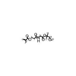 C=C(C)C(=O)OCCC(=O)NCC(=O)OC(C)(C)COC